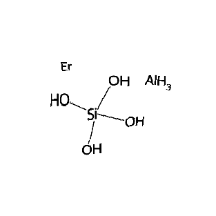 O[Si](O)(O)O.[AlH3].[Er]